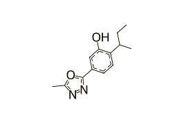 CCC(C)c1ccc(-c2nnc(C)o2)cc1O